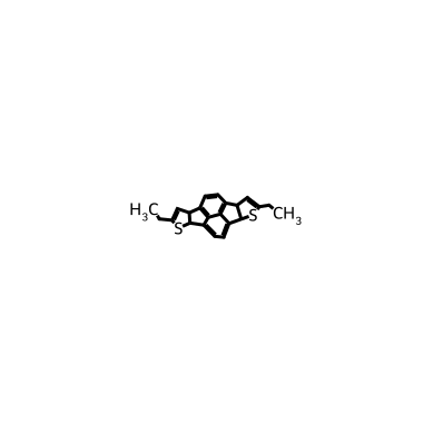 CCC1=CC2c3ccc4c5c(ccc(c35)C2S1)C1SC(CC)=CC41